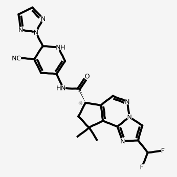 CC1(C)C[C@H](C(=O)NC2=CNC(n3nccn3)C(C#N)=C2)c2cnn3cc(C(F)F)nc3c21